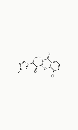 Cn1cc(N2CCc3c(oc4c(Cl)cccc4c3=O)C2=O)cn1